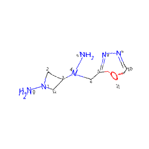 NN1CC(N(N)Cc2nnco2)C1